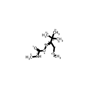 CNC(=O)O/N=C(\CSC)C(C)(C)C